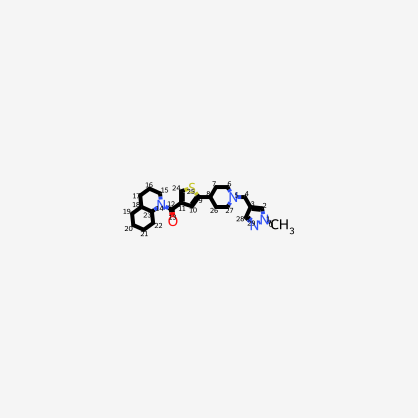 Cn1cc(CN2CCC(c3cc(C(=O)N4CCCC5CCCCC54)cs3)CC2)cn1